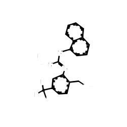 Cl.NC(=Nc1cc(C(F)(F)F)ccc1CS)Nc1cccc2ccccc12